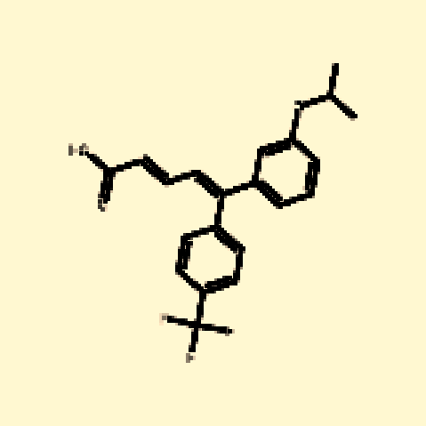 CC(C)Oc1cccc(C(=CC=CC(=O)O)c2ccc(C(F)(F)F)cc2)c1